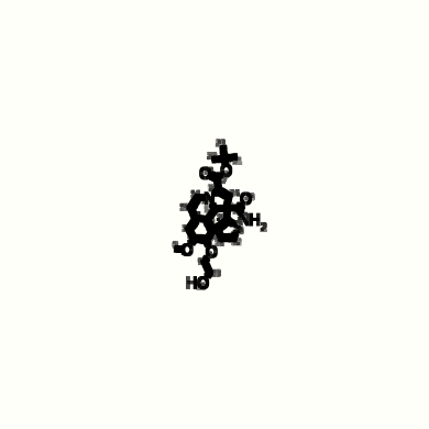 COc1cc2c(cc1OCCO)C1N(C=C2)C(C(=O)OC(C)(C)C)=CC1(C(N)=O)c1cccs1